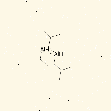 CC(C)[CH2][AlH][CH2]C(C)C.C[CH2][AlH2]